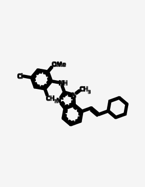 COc1cc(Cl)cc(C)c1Nc1nc2cccc(C=CC3CCCCC3)c2n1C